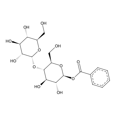 O=C(O[C@@H]1O[C@H](CO)[C@@H](O[C@H]2O[C@H](CO)[C@@H](O)[C@H](O)[C@H]2O)[C@H](O)[C@H]1O)c1ccccc1